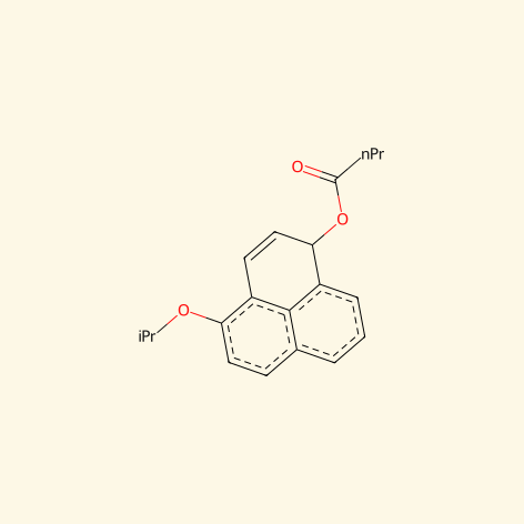 CCCC(=O)OC1C=Cc2c(OC(C)C)ccc3cccc1c23